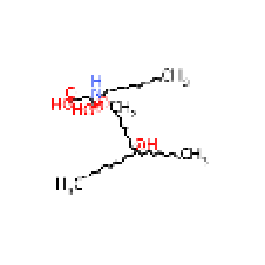 CCCCCCCCCCCC(=O)NC(CCC(=O)O)C(=O)O.CCCCCCCCCCCC(O)(CCCCCCCC)CCCCCCCC